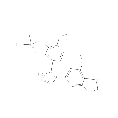 COc1cc(-c2nn[nH]c2-c2ccc(SC)c(OP(C)(=O)O)c2)cc2c1OCO2